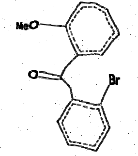 COc1ccccc1C(=O)c1ccccc1Br